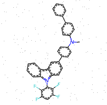 CN(c1ccc(-c2ccccc2)cc1)c1ccc(-c2ccc3c(c2)c2ccccc2n3-c2c(F)c(F)cc(F)c2F)cc1